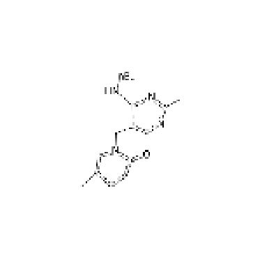 CCCCNc1nc(C)ncc1Cn1cc(C)ccc1=O